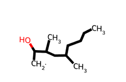 [CH2]C(O)C(C)CC(C)CCCC